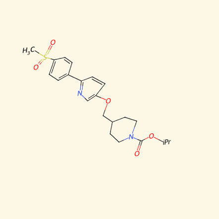 CC(C)OC(=O)N1CCC(COc2ccc(-c3ccc(S(C)(=O)=O)cc3)nc2)CC1